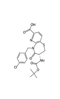 CC(C)(C)OC(=O)N[C@H]1CSc2ccc(C(=O)O)nc2N(Cc2ccc(Cl)cc2)C1=O